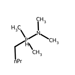 CCCC[PH](C)(C)N(C)C